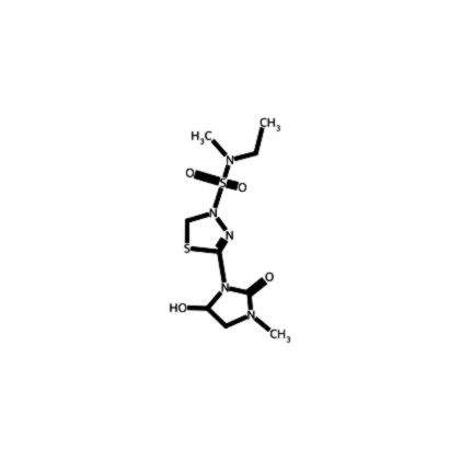 CCN(C)S(=O)(=O)N1CSC(N2C(=O)N(C)CC2O)=N1